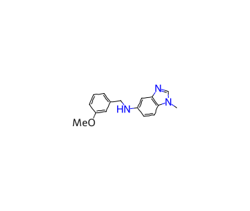 COc1cccc(CNc2ccc3c(c2)ncn3C)c1